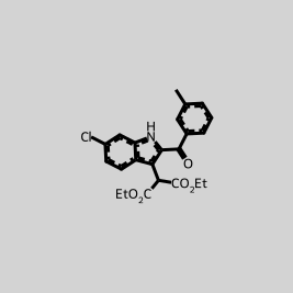 CCOC(=O)C(C(=O)OCC)c1c(C(=O)c2cccc(C)c2)[nH]c2cc(Cl)ccc12